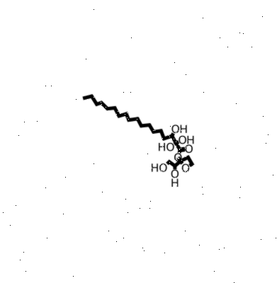 CCCCCCCCCCCCCCCC(O)C(O)(O)C(=O)OC1(C(O)CO)CCO1